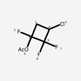 CC(=O)OC1(F)CC(Cl)C1(F)F